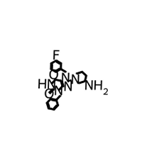 NC1CCCN(c2nc3c(c(=O)[nH]c(=O)n3Cc3ccccc3)n2Cc2cccc(F)c2)C1